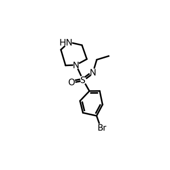 CCN=S(=O)(c1ccc(Br)cc1)N1CCNCC1